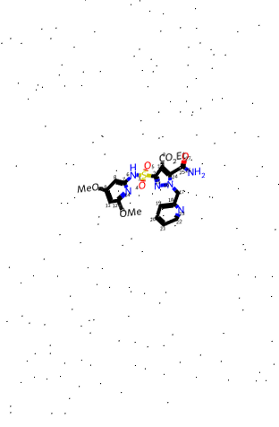 CCOC(=O)c1c(S(=O)(=O)Nc2cc(OC)cc(OC)n2)nn(Cc2ccccn2)c1C(N)=O